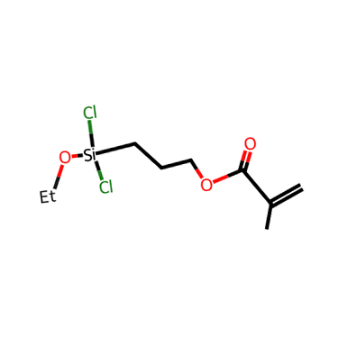 C=C(C)C(=O)OCCC[Si](Cl)(Cl)OCC